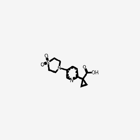 O=C(O)C1(c2ccc(N3CCS(=O)(=O)CC3)cn2)CC1